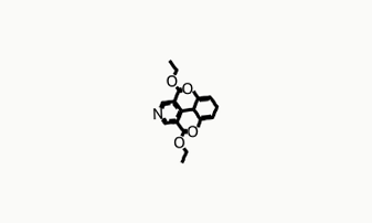 CCOC(=O)c1cncc(C(=O)OCC)c1C1C(C)=CCC=C1C